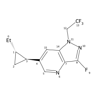 CC[C@H]1C[C@@H]1c1cnc2c(F)nn(CC(F)(F)F)c2c1